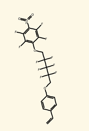 C=Cc1ccc(OCC(F)(F)C(F)(F)C(F)(F)COc2c(F)c(F)c([SH](=O)=O)c(F)c2F)cc1